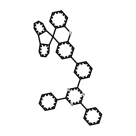 c1ccc(-c2nc(-c3ccccc3)nc(-c3cccc(-c4ccc5c(c4)Oc4ccccc4C54c5ccccc5-c5ccccc54)c3)n2)cc1